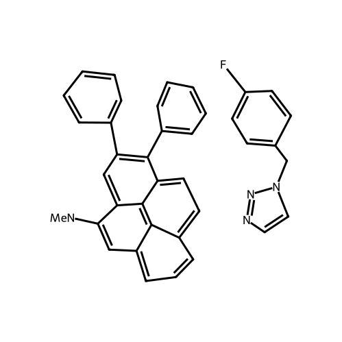 CNc1cc2cccc3ccc4c(-c5ccccc5)c(-c5ccccc5)cc1c4c32.Fc1ccc(Cn2ccnn2)cc1